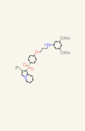 COc1cc(NCCCOc2ccc(S(=O)(=O)c3c(C(C)C)cn4ccccc34)cc2)cc(OC)c1